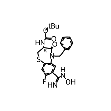 CC(C)(C)OC(=O)N[C@H]1CSc2cc(F)c(C(=N)NO)cc2N(Cc2ccccc2)C1=O